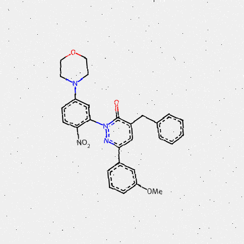 COc1cccc(-c2cc(Cc3ccccc3)c(=O)n(-c3cc(N4CCOCC4)ccc3[N+](=O)[O-])n2)c1